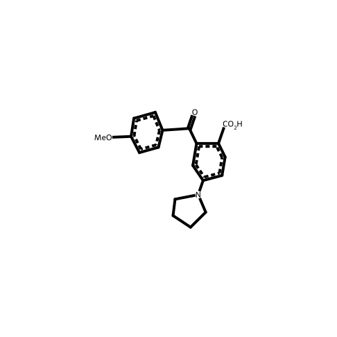 COc1ccc(C(=O)c2cc(N3CCCC3)ccc2C(=O)O)cc1